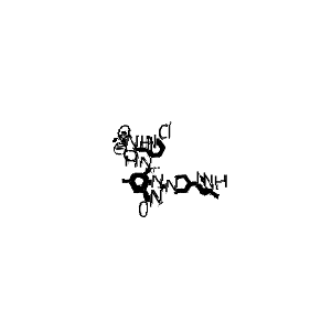 Cc1cc([C@@H](C)Nc2ccc(Cl)nc2C(=O)NS(C)(=O)=O)c2nc(N3CCC(c4cc(C)[nH]n4)CC3)n(C)c(=O)c2c1